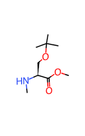 CN[C@@H](COC(C)(C)C)C(=O)OC